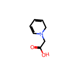 O=C(O)CN1C=CC=CC1